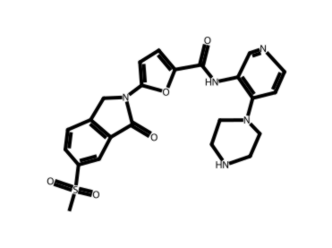 CS(=O)(=O)c1ccc2c(c1)C(=O)N(c1ccc(C(=O)Nc3cnccc3N3CCNCC3)o1)C2